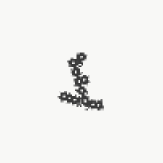 c1ccc2cc3cc4c(cc3cc2c1)nc1c2sc3cc5ccccc5cc3c2cc(-c2ccc(-c3ccc(-c5ccc(-c6cccc7c6oc6ccccc67)cc5)c5ccccc35)cc2)n41